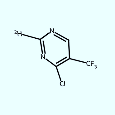 [2H]c1ncc(C(F)(F)F)c(Cl)n1